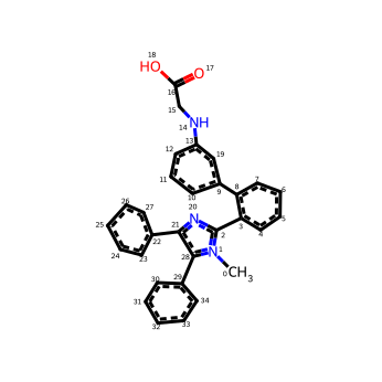 Cn1c(-c2ccccc2-c2cccc(NCC(=O)O)c2)nc(-c2ccccc2)c1-c1ccccc1